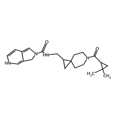 CC1(C)CC1C(=O)N1CCC2(CC1)CC2CNC(=O)N1C=C2C=CNC=C2C1